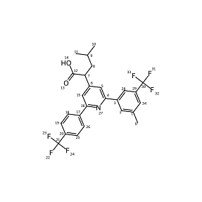 Cc1cc(-c2cc(C(CC(C)C)C(=O)O)cc(-c3ccc(C(F)(F)F)cc3)n2)cc(C(F)(F)F)c1